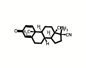 C[C@]12C=CC(=O)C=C1CC[C@@H]1[C@@H]2CC[C@@]2(C)[C@H]1CC[C@]2(C)C#N